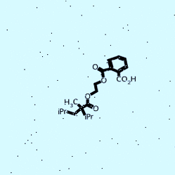 CC(C)CC(C)(C(=O)OCCOC(=O)c1ccccc1C(=O)O)C(C)C